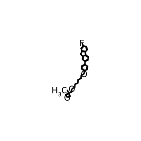 CCC1(COCCCCCCOc2ccc(-c3ccc4c(c3)Cc3cc(F)ccc3-4)cc2)COC1